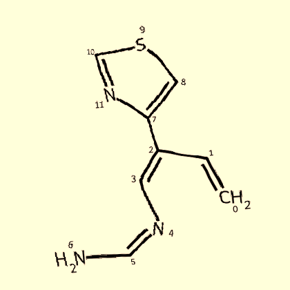 C=C/C(=C\N=C/N)c1cscn1